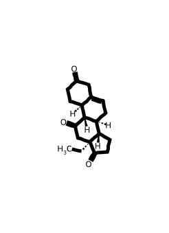 CC[C@]12CC(=O)[C@H]3[C@@H](CC=C4CC(=O)CC[C@@H]43)[C@@H]1CCC2=O